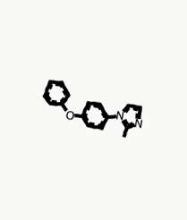 Cc1nccn1-c1ccc(Oc2ccccc2)cc1